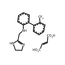 FC(F)(F)c1ccccc1-c1ccccc1NCC1=NCCN1.O=C(O)C=CC(=O)O